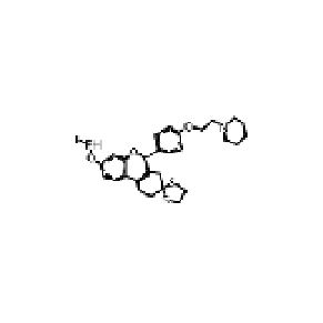 IPOc1ccc2c(c1)O[C@@H](c1ccc(OCCN3CCCCC3)cc1)C1=C2CCC2(C1)SCCS2